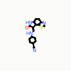 N#Cc1ccc(NC=C2C(=O)Nc3ccc4ncsc4c32)cc1